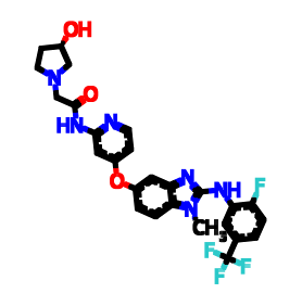 Cn1c(Nc2cc(C(F)(F)F)ccc2F)nc2cc(Oc3ccnc(NC(=O)CN4CC[C@@H](O)C4)c3)ccc21